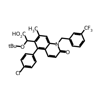 Cc1cc2c(ccc(=O)n2Cc2cccc(C(F)(F)F)c2)c(-c2ccc(Cl)cc2)c1C(OC(C)(C)C)C(=O)O